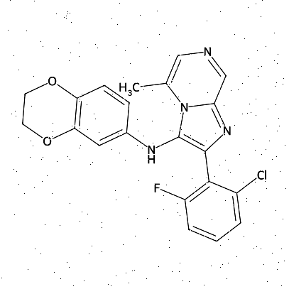 Cc1cncc2nc(-c3c(F)cccc3Cl)c(Nc3ccc4c(c3)OCCO4)n12